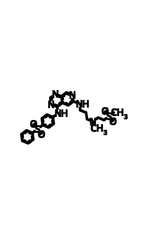 CN(CCCNc1cc2c(Nc3ccc(S(=O)(=O)c4ccccc4)cc3)ncnc2cn1)CCS(C)(=O)=O